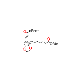 CCCCCC(=O)C=C[C@H]1CC2OCCOC2[C@@H]1CCCCCCC(=O)OC